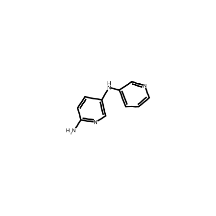 Nc1ccc(Nc2cccnc2)cn1